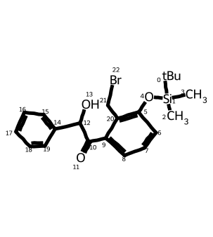 CC(C)(C)[Si](C)(C)Oc1cccc(C(=O)C(O)c2ccccc2)c1CBr